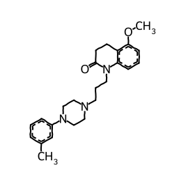 COc1cccc2c1CCC(=O)N2CCCN1CCN(c2cccc(C)c2)CC1